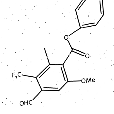 COc1cc(C=O)c(C(F)(F)F)c(C)c1C(=O)Oc1ccccc1